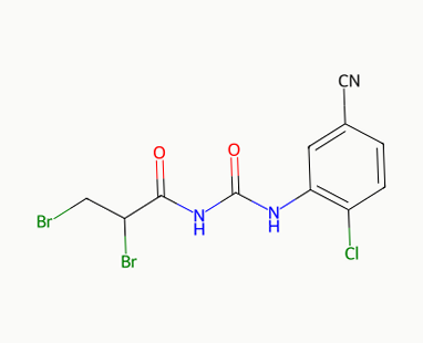 N#Cc1ccc(Cl)c(NC(=O)NC(=O)C(Br)CBr)c1